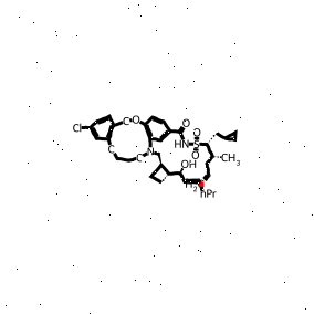 C=CC[C@@H](C)[C@@H](CC1CC1)S(=O)(=O)NC(=O)c1ccc2c(c1)N(C[C@@H]1CC[C@H]1[C@@H](O)/C=C/CCC)CCCCc1cc(Cl)ccc1CO2